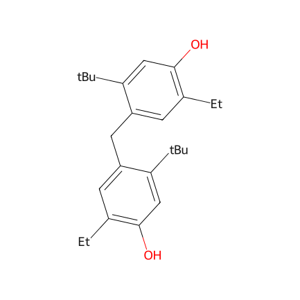 CCc1cc(Cc2cc(CC)c(O)cc2C(C)(C)C)c(C(C)(C)C)cc1O